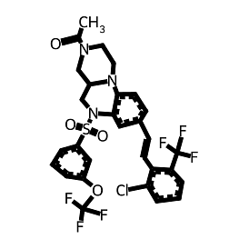 CC(=O)N1CCN2c3ccc(C=Cc4c(Cl)cccc4C(F)(F)F)cc3N(S(=O)(=O)c3cccc(OC(F)(F)F)c3)CC2C1